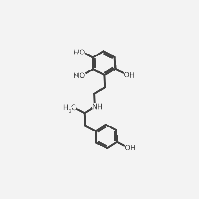 CC(Cc1ccc(O)cc1)NCCc1c(O)ccc(O)c1O